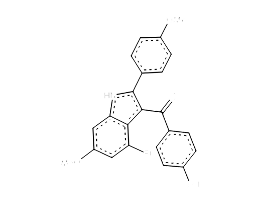 CCc1cc(OC)cc2[nH]c(-c3ccc(OC)cc3)c(C(=O)c3ccc(O)cc3)c12